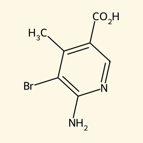 Cc1c(C(=O)O)cnc(N)c1Br